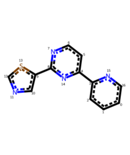 c1ccc(-c2ccnc(-c3cncs3)n2)nc1